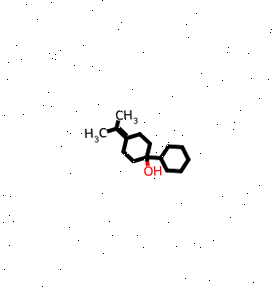 CC(C)=C1CCC(O)(C2CCCCC2)CC1